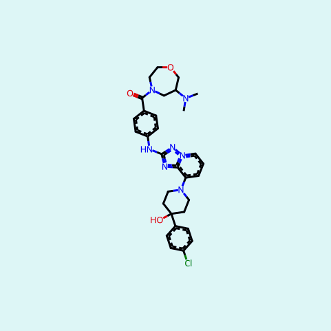 CN(C)C1COCCN(C(=O)c2ccc(Nc3nc4c(N5CCC(O)(c6ccc(Cl)cc6)CC5)cccn4n3)cc2)C1